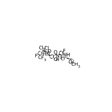 C[C@H]1CC[C@@H](C#CC(=O)Nc2c(F)ccc(NC(=O)c3cc(NC(=O)[C@H]4[C@H](c5ccc(F)c(C(F)(F)F)c5)C4(Cl)Cl)ccc3Cl)c2F)O1